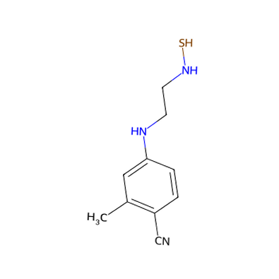 Cc1cc(NCCNS)ccc1C#N